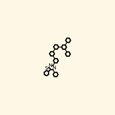 c1ccc(-c2cc(-c3ccccc3)cc(-c3cccc(-c4cccc(-c5cccc(-c6nc(-c7ccccc7)c7c(n6)sc6ccccc67)c5)c4)c3)c2)cc1